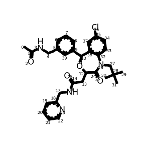 CC(=O)NCc1cccc(C2OC(CC(=O)NCc3ccccn3)C(=O)N(CC(C)(C)C)c3ccc(Cl)cc32)c1